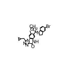 COCc1cc2c(cc1C(=O)N1CCc3cc(Br)ccc31)[nH]c(=O)c1nnc(CC3CC3)n12